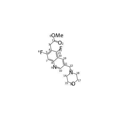 COC(=O)Cc1c(F)cc2ncc(CN3CCOCC3)cc2c1F